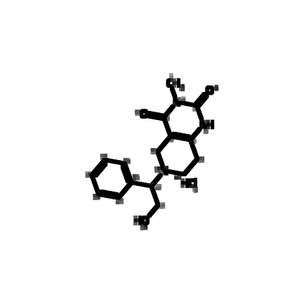 Cl.Cn1c(=O)[nH]c2c(c1=O)CN(C(CO)c1ccccc1)CC2